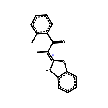 C/C(C(=O)c1ccccc1C)=C1\Nc2ccccc2S1